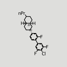 CCCC1CC[C@@H]2C[C@H](c3ccc(-c4cc(F)c(Cl)c(F)c4)c(F)c3)CC[C@@H]2C1